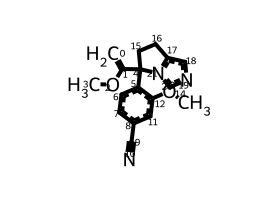 C=C(OC)C1(c2ccc(C#N)cc2OC)CCc2cncn21